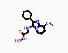 Cc1cccn2c(NCC(=O)NO)c(C3CCCCC3)nc12